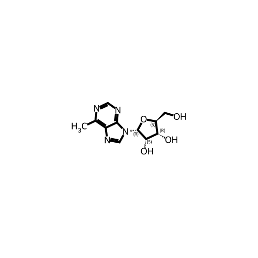 Cc1ncnc2c1ncn2[C@@H]1O[C@@H](CO)[C@H](O)[C@@H]1O